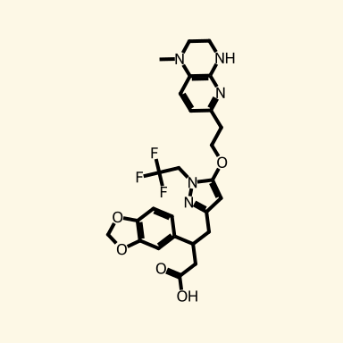 CN1CCNc2nc(CCOc3cc(CC(CC(=O)O)c4ccc5c(c4)OCO5)nn3CC(F)(F)F)ccc21